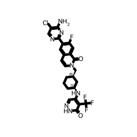 Nc1nc(-c2cc3ccn(C[C@@H]4CCC[C@H](Nc5cn[nH]c(=O)c5C(F)(F)F)C4)c(=O)c3cc2F)ncc1Cl